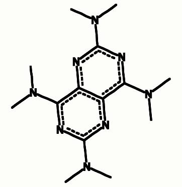 CN(C)c1nc(N(C)C)c2nc(N(C)C)nc(N(C)C)c2n1